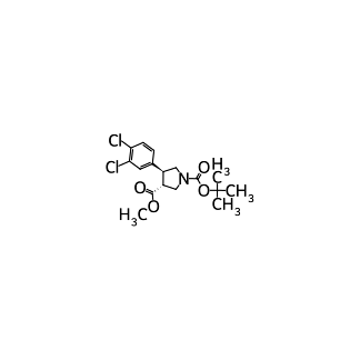 COC(=O)[C@H]1CN(C(=O)OC(C)(C)C)C[C@@H]1c1ccc(Cl)c(Cl)c1